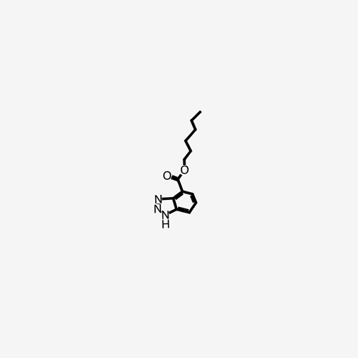 CCCCCCOC(=O)c1cccc2[nH]nnc12